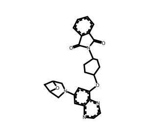 O=C1c2ccccc2C(=O)N1C1CCC(Oc2cc(N3CC4CC(C3)O4)cc3nccnc23)CC1